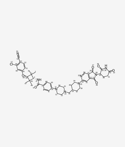 CC1(C)[C@H](NC(=O)c2ccc(N3CCN(CC4CCN(c5cc6c(cn5)C(=O)N(C5CCC(=O)NC5=O)C6=O)CC4)CC3)cc2)C(C)(C)[C@H]1Oc1ccc(C#N)c(Cl)c1